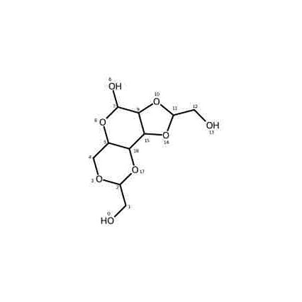 OCC1OCC2OC(O)C3OC(CO)OC3C2O1